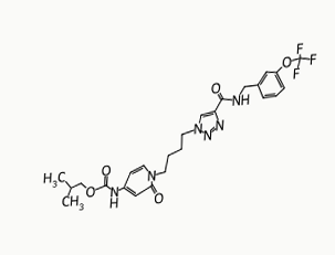 CC(C)COC(=O)Nc1ccn(CCCCn2cc(C(=O)NCc3cccc(OC(F)(F)F)c3)nn2)c(=O)c1